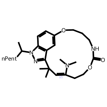 CCCCCC(C)n1nc2c3cc(ccc31)OCCCNC(=O)OCC/C(N(C)C)=C/C2(C)C